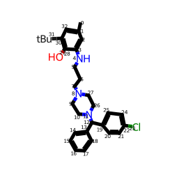 Cc1cc(NCCCN2CCN(C(c3ccccc3)c3ccc(Cl)cc3)CC2)c(O)c(C(C)(C)C)c1